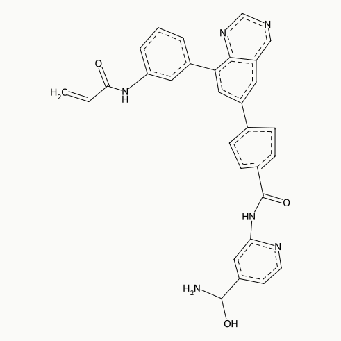 C=CC(=O)Nc1cccc(-c2cc(-c3ccc(C(=O)Nc4cc(C(N)O)ccn4)cc3)cc3cncnc23)c1